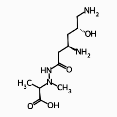 CC(C(=O)O)N(C)NC(=O)C[C@H](N)C[C@@H](O)CN